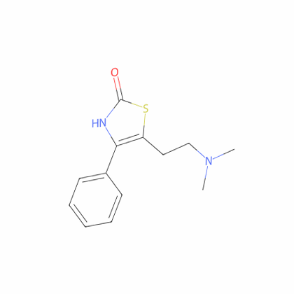 CN(C)CCc1sc(=O)[nH]c1-c1ccccc1